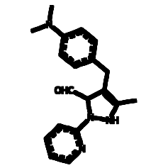 CC1=C(Cc2ccc(N(C)C)cc2)C(C=O)N(c2ccccn2)N1